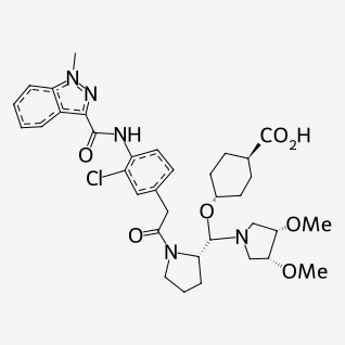 CO[C@H]1CN(C(O[C@H]2CC[C@H](C(=O)O)CC2)[C@@H]2CCCN2C(=O)Cc2ccc(NC(=O)c3nn(C)c4ccccc34)c(Cl)c2)C[C@H]1OC